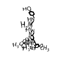 COc1cc(OC)cc(-c2cc3cnc(NC/C(N)=C/NCc4ccc(O)cc4)nc3nc2NC(=O)NC(C)(C)C)c1